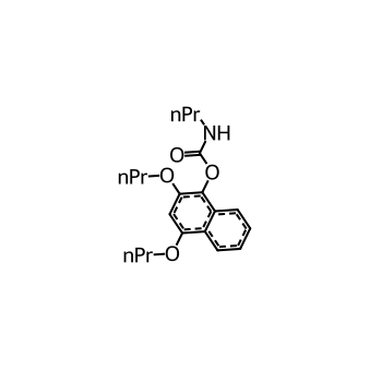 CCCNC(=O)Oc1c(OCCC)cc(OCCC)c2ccccc12